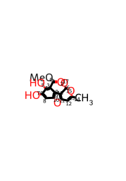 COC(=O)c1c(O)c(O)cc2oc3cc(C)oc(=O)c3c12